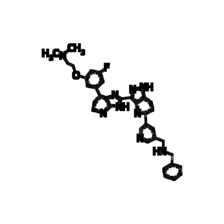 CN(C)CCOc1cc(F)cc(-c2ccnc3[nH]c(-c4n[nH]c5ccc(-c6cncc(CNCc7ccccc7)c6)nc45)nc23)c1